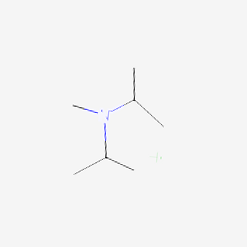 CC(C)N(C)C(C)C.Cl